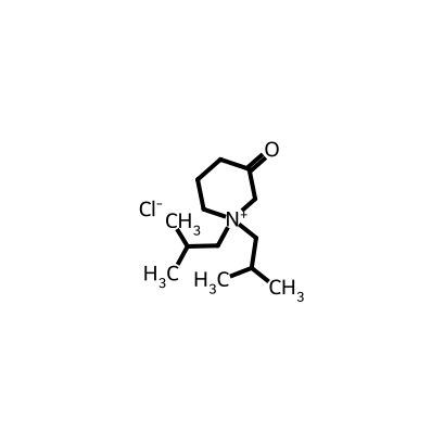 CC(C)C[N+]1(CC(C)C)CCCC(=O)C1.[Cl-]